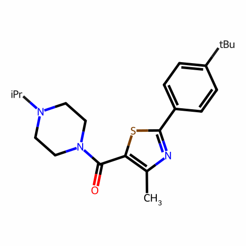 Cc1nc(-c2ccc(C(C)(C)C)cc2)sc1C(=O)N1CCN(C(C)C)CC1